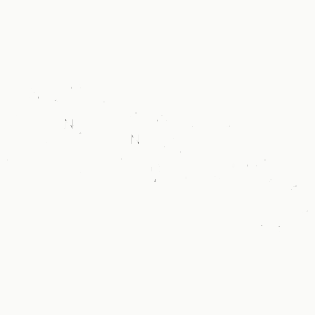 Cc1cccc2c1N(C1CCN(S(=O)(=O)c3ccc(Oc4ccccc4)cc3)CC1)C(=O)OC2